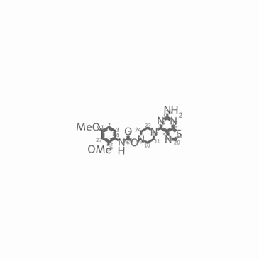 COc1ccc(NC(=O)ON2CCN(c3nc(N)nc4scnc34)CC2)c(OC)c1